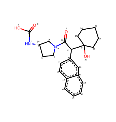 O=C(O)N[C@H]1CCN(C(=O)C(c2ccc3ccccc3c2)C2(O)CCCCC2)C1